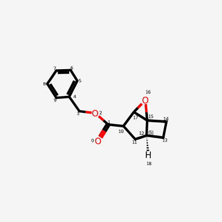 O=C(OCc1ccccc1)C1C[C@@H]2CCC23OC13